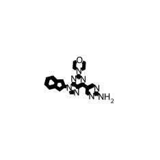 Nc1ncc(-c2nc(N3CCOCC3)nc3c2ncn3C2Cc3ccccc3C2)cn1